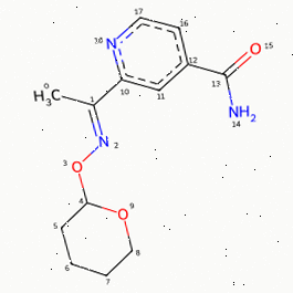 C/C(=N\OC1CCCCO1)c1cc(C(N)=O)ccn1